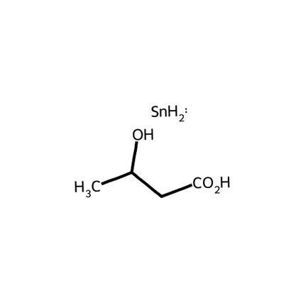 CC(O)CC(=O)O.[SnH2]